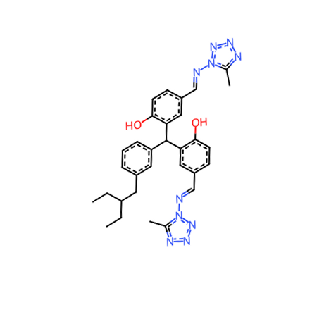 CCC(CC)Cc1cccc(C(c2cc(C=Nn3nnnc3C)ccc2O)c2cc(C=Nn3nnnc3C)ccc2O)c1